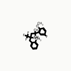 COc1ccc(F)cc1C(C)(C)CC(O)(Cc1ccccc1C)C(F)(F)F